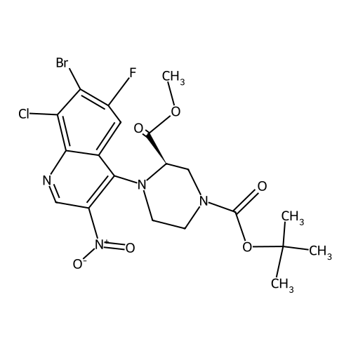 COC(=O)[C@H]1CN(C(=O)OC(C)(C)C)CCN1c1c([N+](=O)[O-])cnc2c(Cl)c(Br)c(F)cc12